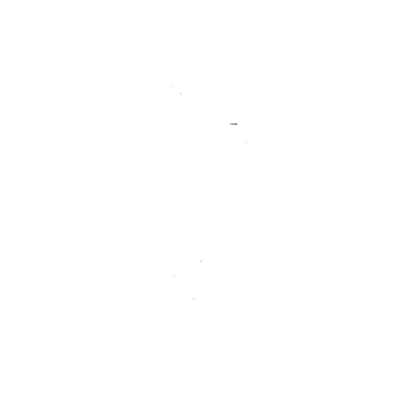 O=C(C=Cc1ccc(OC2O[C@H](CO)[C@@H](O)[C@H](O)[C@H]2O)cc1O)c1ccccc1